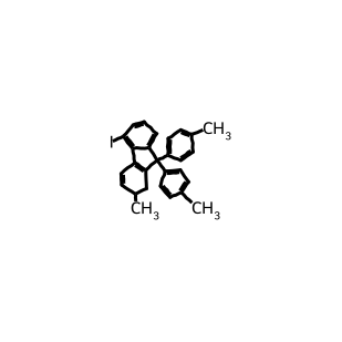 Cc1ccc(C2(c3ccc(C)cc3)C3=C(C=CC(C)C3)c3c(I)cccc32)cc1